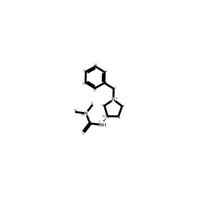 C=C(N[C@H]1CCN(Cc2ccccc2)C1)N(C)C